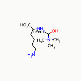 CCCCCC(O)[N+](C)(C)C.NCCCCC(N)C(=O)O